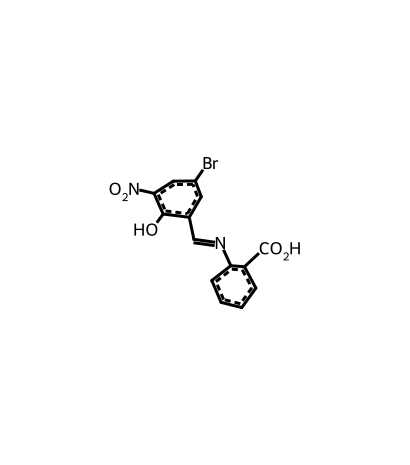 O=C(O)c1ccccc1/N=C/c1cc(Br)cc([N+](=O)[O-])c1O